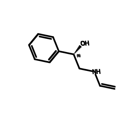 C=CNC[C@@H](O)c1ccccc1